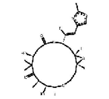 Cc1nc(C=C(F)[C@@H]2C[C@@H]3O[C@]3(C)CCO[C@H](C)[C@@H](O)[C@@H](C)C(=O)C(C)(C)[C@@H](O)CC(=O)O2)cs1